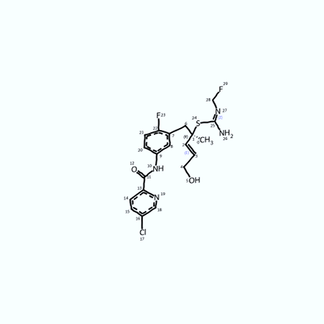 C[C@](/C=C/CO)(Cc1cc(NC(=O)c2ccc(Cl)cn2)ccc1F)S/C(N)=N\CF